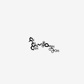 Cc1cccnc1-c1cc2cccnc2c(NC=CCS(=O)(=O)c2ccc(NC(=O)CC(=O)O)cc2)n1